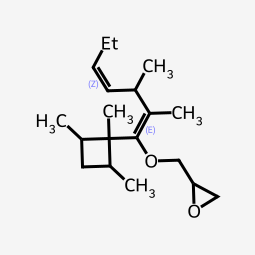 CC/C=C\C(C)/C(C)=C(/OCC1CO1)C1(C)C(C)CC1C